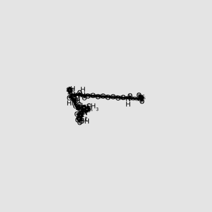 CC[C@]1(O)C(=O)OCc2c1cc1n(c2=O)Cc2c-1nc1cc(F)c(C)c3c1c2[C@@H](N1CCC(OCNC(=O)CNC(=O)[C@H](Cc2ccccc2)NC(=O)CNC(=O)CNC(=O)COCCOCCOCCOCCOCCOCCOCCOCCNC(=O)CCCCCN2C(=O)C=CC2=O)C1=O)CC3